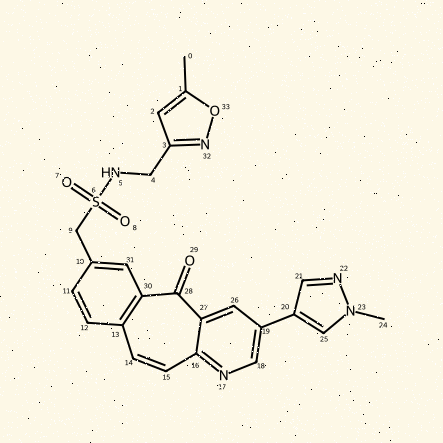 Cc1cc(CNS(=O)(=O)Cc2ccc3ccc4ncc(-c5cnn(C)c5)cc4c(=O)c3c2)no1